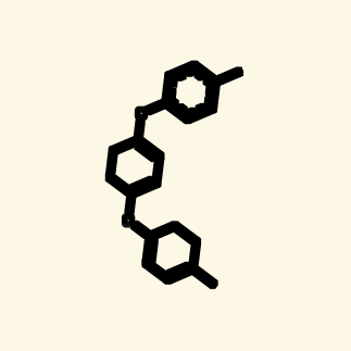 CC1=CC=C(OC2=CC=C(Oc3ccc(C)cc3)CC2)CC1